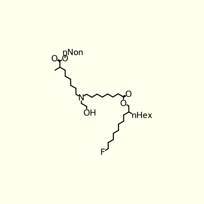 CCCCCCCCCOC(=O)C(C)CCCCCCN(CCO)CCCCCCCC(=O)OCC(CCCCCC)CCCCCCCCF